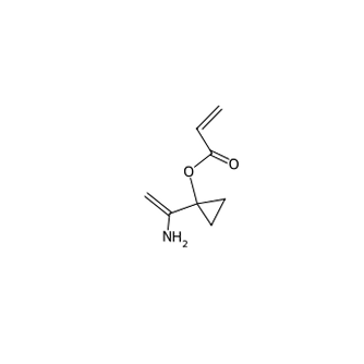 C=CC(=O)OC1(C(=C)N)CC1